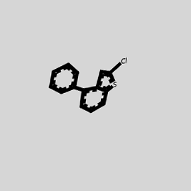 Clc1cc2c(-c3ccccc3)cccc2s1